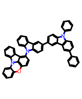 c1ccc(-c2ccc3c(c2)c2cc(-c4ccc5c(c4)c4ccccc4n5-c4ccc5c6c4c4ccccc4n6-c4ccccc4O5)ccc2n3-c2ccccc2)cc1